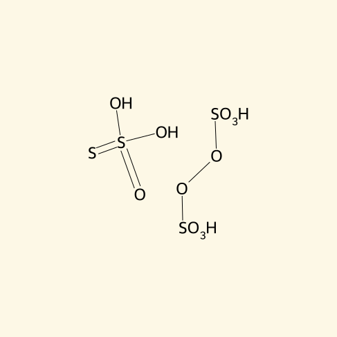 O=S(=O)(O)OOS(=O)(=O)O.O=S(O)(O)=S